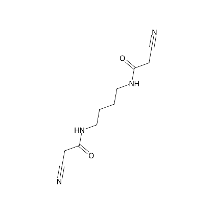 N#CCC(=O)NCCCCNC(=O)CC#N